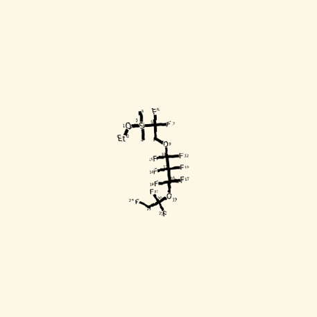 CCO[Si](C)(C)C(F)(F)COC(F)(F)C(F)(F)C(F)(F)OC(F)(F)CF